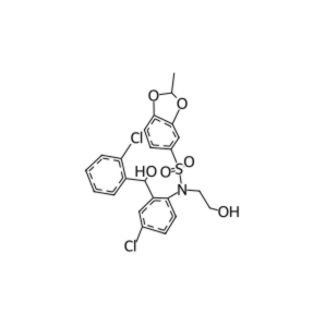 CC1Oc2ccc(S(=O)(=O)N(CCO)c3ccc(Cl)cc3C(O)c3ccccc3Cl)cc2O1